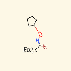 CCOC(=O)/C(Br)=N/OC1CCCC1